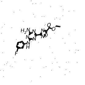 CCOC(=O)c1nc(-c2nc(N)nc(Nc3cccc(F)c3)n2)no1